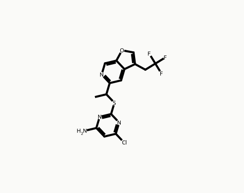 CC(Sc1nc(N)cc(Cl)n1)c1cc2c(CC(F)(F)F)coc2cn1